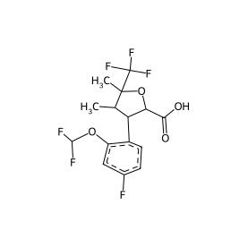 CC1C(c2ccc(F)cc2OC(F)F)C(C(=O)O)OC1(C)C(F)(F)F